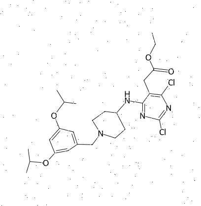 CCOC(=O)Cc1c(Cl)nc(Cl)nc1NC1CCN(Cc2cc(OC(C)C)cc(OC(C)C)c2)CC1